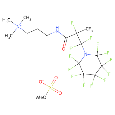 COS(=O)(=O)[O-].C[N+](C)(C)CCCNC(=O)C(F)(C(F)(F)F)C(F)(F)N1C(F)(F)C(F)(F)C(F)(F)C(F)(F)C1(F)F